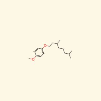 COc1[c]cc(OCCC(C)CCCC(C)C)[c]c1